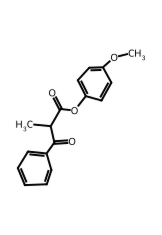 COc1ccc(OC(=O)C(C)C(=O)c2ccccc2)cc1